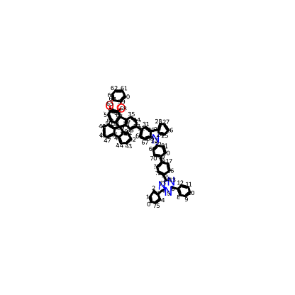 c1ccc(-c2nc(-c3ccccc3)nc(-c3ccc(-c4ccc(-n5c6ccccc6c6cc(-c7ccc8c(c7)C7(c9ccccc9-c9ccccc97)c7ccc9c(c7-8)Oc7ccccc7O9)ccc65)cc4)cc3)n2)cc1